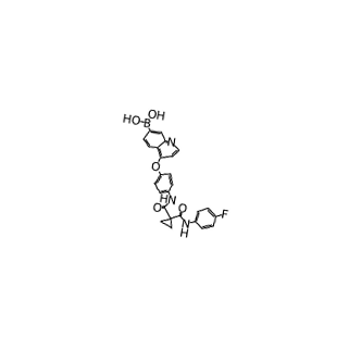 O=C(Nc1ccc(F)cc1)C1(C(=O)Nc2ccc(Oc3ccnc4cc(B(O)O)ccc34)cc2)CC1